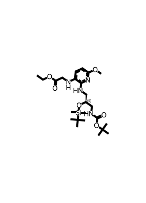 CCOC(=O)CNc1ccc(OC)nc1NC[C@@H](CNC(=O)OC(C)(C)C)O[Si](C)(C)C(C)(C)C